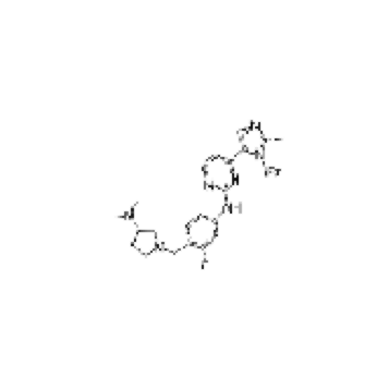 Cc1ncc(-c2ccnc(Nc3ccc(CN4CC[C@H](N(C)C)C4)c(F)c3)n2)n1C(C)C